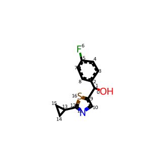 OC(c1ccc(F)cc1)c1cnc(C2CC2)s1